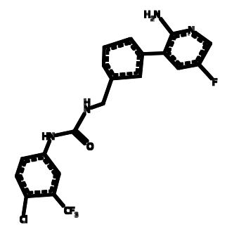 Nc1ncc(F)cc1-c1cccc(CNC(=O)Nc2ccc(Cl)c(C(F)(F)F)c2)c1